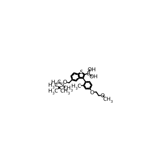 COCCOc1ccc(-c2c(B(O)O)sc3ccc(CO[Si](C)(C)C(C)(C)C)cc23)c(C)c1